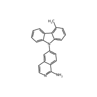 Cc1cccc2c1c1ccccc1n2-c1ccc2c(N)nccc2c1